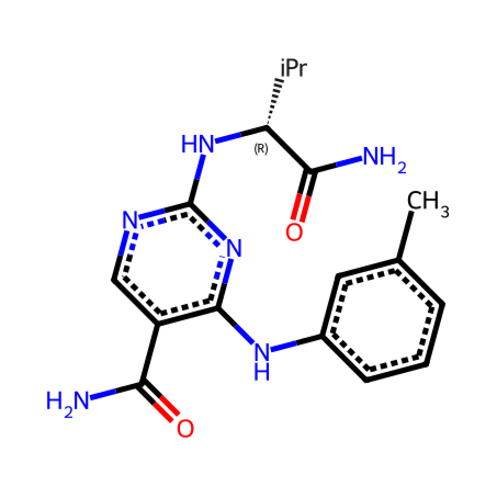 Cc1cccc(Nc2nc(N[C@@H](C(N)=O)C(C)C)ncc2C(N)=O)c1